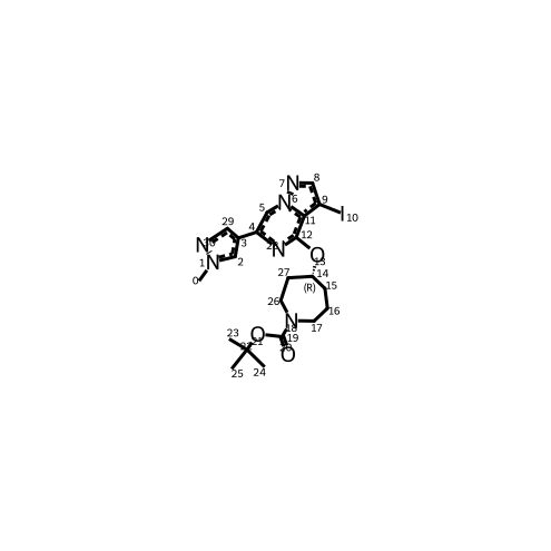 Cn1cc(-c2cn3ncc(I)c3c(O[C@@H]3CCCN(C(=O)OC(C)(C)C)CC3)n2)cn1